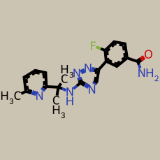 Cc1cccc(C(C)(C)Nc2ncc(-c3cc(C(N)=O)ccc3F)nn2)n1